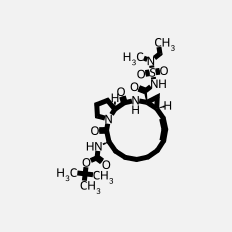 CCN(C)S(=O)(=O)NC(=O)[C@@]12C[C@H]1C=C=CCCCCC[C@H](NC(=O)OC(C)(C)C)C(=O)N1CCC[C@H]1C(=O)N2